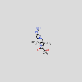 C[C@@H](O)C1C(=O)N2C(C(=O)O)=C(CN3CC[C@H](NC=N)C3)[C@H](C)C12